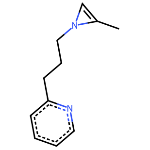 CC1=CN1CCCc1ccccn1